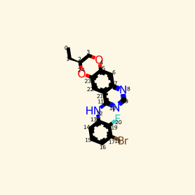 CC[C@H]1COc2cc3ncnc(Nc4cccc(Br)c4F)c3cc2O1